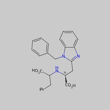 CC(C)CC(N[C@@H](Cc1nc2ccccc2n1Cc1ccccc1)C(=O)O)C(=O)O